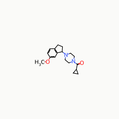 COc1ccc2c(c1)C(N1CCN(C(=O)C3CC3)CC1)CC2